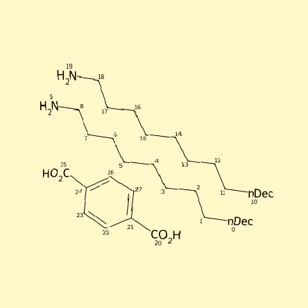 CCCCCCCCCCCCCCCCCCN.CCCCCCCCCCCCCCCCCCN.O=C(O)c1ccc(C(=O)O)cc1